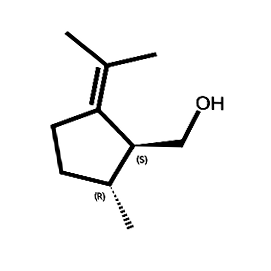 CC(C)=C1CC[C@@H](C)[C@@H]1CO